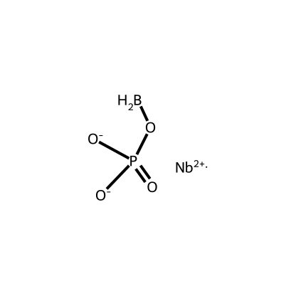 BOP(=O)([O-])[O-].[Nb+2]